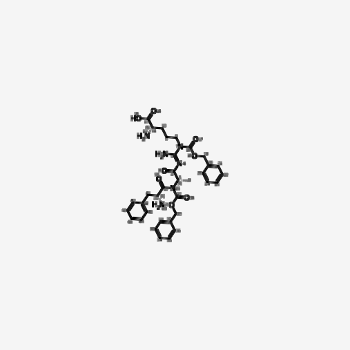 C[C@@H](C(=O)N=C(N)N(CCC[C@H](N)C(=O)O)C(=O)OCc1ccccc1)N(C(=O)OCc1ccccc1)C(=O)[C@H](N)Cc1ccccc1